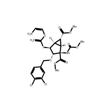 C=C(S/C=C\N)S[C@H]1[C@H]2[C@H](C(=O)OC(C)(C)C)[C@H]2[C@](NC(=O)OC(C)(C)C)(C(=O)OC(C)(C)C)[C@@H]1OCc1ccc(Cl)c(Cl)c1